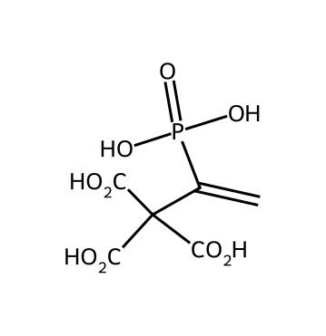 C=C(C(C(=O)O)(C(=O)O)C(=O)O)P(=O)(O)O